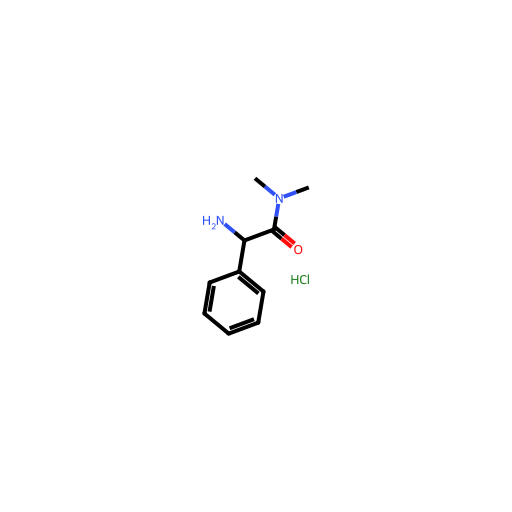 CN(C)C(=O)C(N)c1ccccc1.Cl